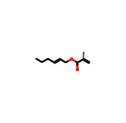 C=C(C)C(=O)OCC=CCCC